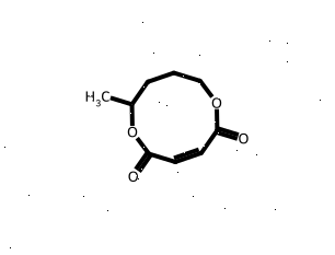 CC1CCCOC(=O)C=CC(=O)O1